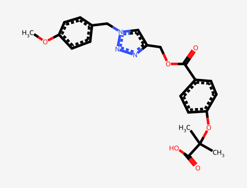 COc1ccc(Cn2cc(COC(=O)c3ccc(OC(C)(C)C(=O)O)cc3)nn2)cc1